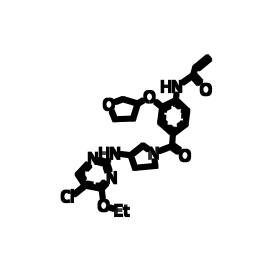 C=CC(=O)Nc1ccc(C(=O)N2CCC(Nc3ncc(Cl)c(OCC)n3)C2)cc1OC1CCOC1